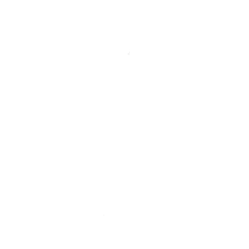 C[Si](Cl)(Cl)CCCCCCCBr